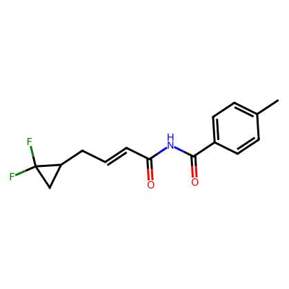 Cc1ccc(C(=O)NC(=O)/C=C/CC2CC2(F)F)cc1